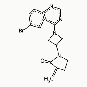 C=C1CCN(C2CN(c3ncnc4ccc(Br)cc34)C2)C1=O